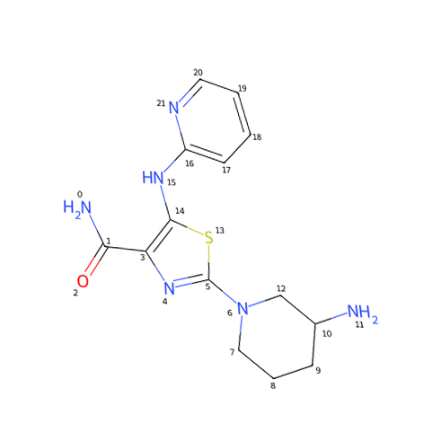 NC(=O)c1nc(N2CCCC(N)C2)sc1Nc1ccccn1